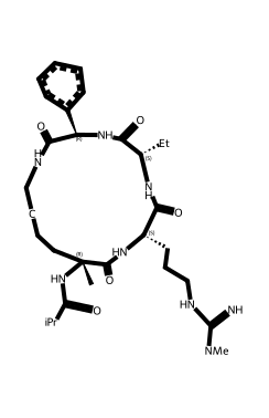 CC[C@@H]1NC(=O)[C@H](CCCNC(=N)NC)NC(=O)[C@](C)(NC(=O)C(C)C)CCCCNC(=O)[C@@H](c2ccccc2)NC1=O